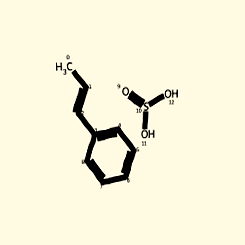 CC=Cc1ccccc1.O=S(O)O